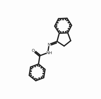 O=C(N/N=C1\CCc2ccccc21)c1ccccc1